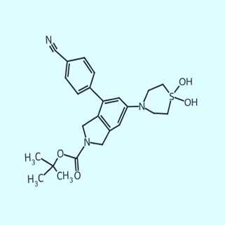 CC(C)(C)OC(=O)N1Cc2cc(N3CCS(O)(O)CC3)cc(-c3ccc(C#N)cc3)c2C1